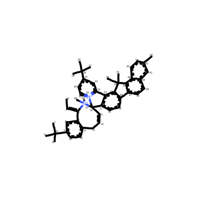 C/C=C1/c2cc(C(C)(C)C)ccc2C/C=C\C2(c3ccc4c(c3-c3cc(C(C)(C)C)cc[n+]32)C(C)(C)c2c-4ccc3cc(C)ccc23)[N+]1(C)C